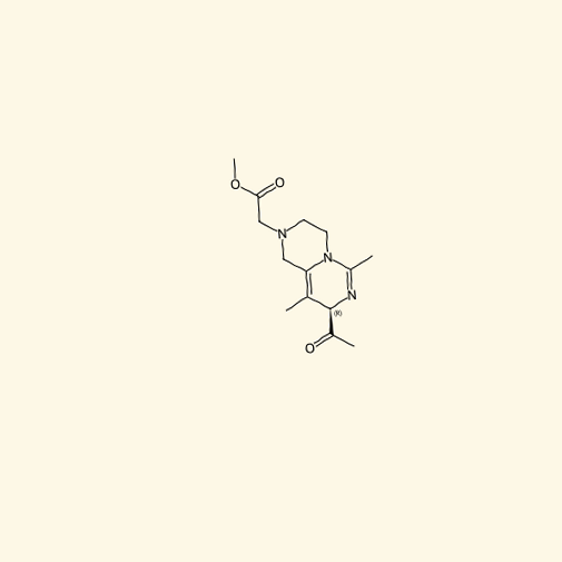 COC(=O)CN1CCN2C(C)=N[C@@H](C(C)=O)C(C)=C2C1